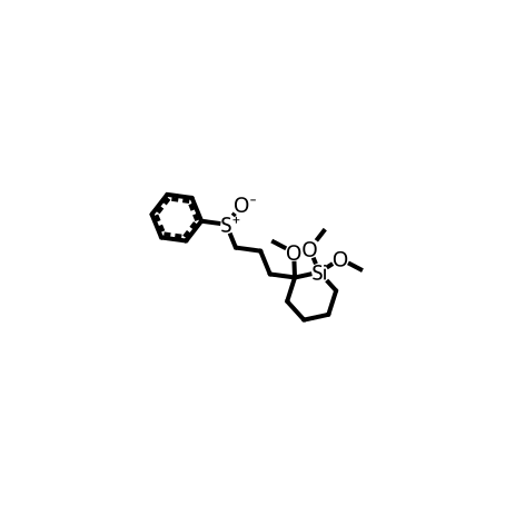 COC1(CCC[S+]([O-])c2ccccc2)CCCC[Si]1(OC)OC